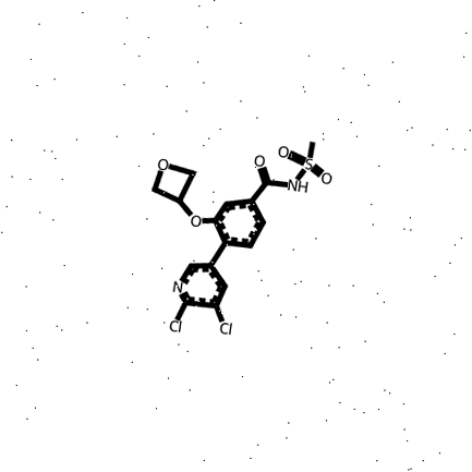 CS(=O)(=O)NC(=O)c1ccc(-c2cnc(Cl)c(Cl)c2)c(OC2COC2)c1